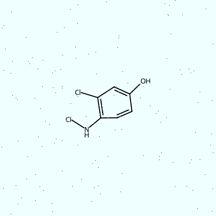 Oc1ccc(NCl)c(Cl)c1